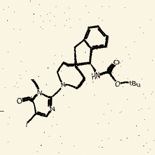 Cn1c(N2CCC3(CC2)Cc2ccccc2[C@H]3NC(=O)OC(C)(C)C)ncc(I)c1=O